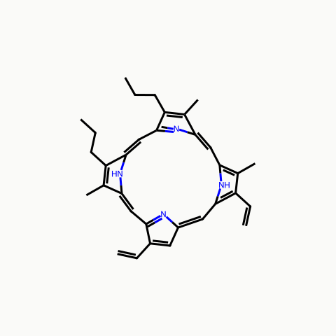 C=CC1=Cc2cc3[nH]c(cc4nc(cc5[nH]c(cc1n2)c(C)c5CCC)C(CCC)=C4C)c(C)c3C=C